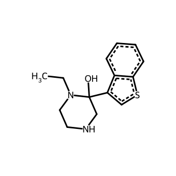 CCN1CCNCC1(O)c1csc2ccccc12